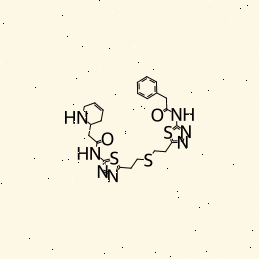 O=C(Cc1ccccc1)Nc1nnc(CCSCCc2nnc(NC(=O)CC3CC=CCN3)s2)s1